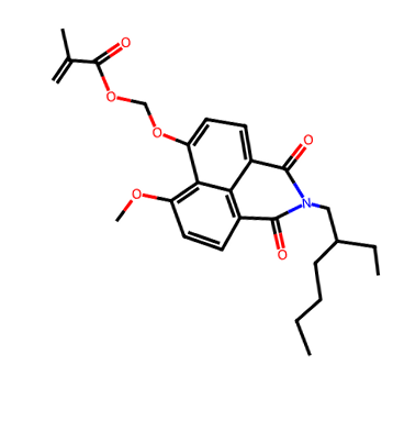 C=C(C)C(=O)OCOc1ccc2c3c(ccc(OC)c13)C(=O)N(CC(CC)CCCC)C2=O